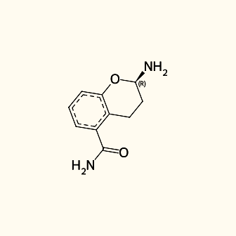 NC(=O)c1cccc2c1CC[C@H](N)O2